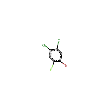 Fc1cc(Cl)c(Cl)cc1Br